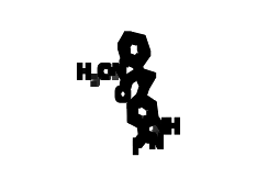 CN1C(=O)C2(CC2c2ccc3c(I)n[nH]c3c2)c2ccccc21